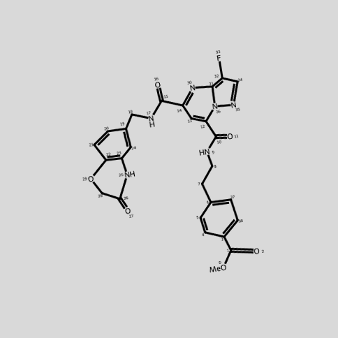 COC(=O)c1ccc(CCNC(=O)c2cc(C(=O)NCc3ccc4c(c3)NC(=O)CO4)nc3c(F)cnn23)cc1